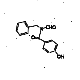 O=CN(Cc1ccccc1)C(=O)c1ccc(O)cc1